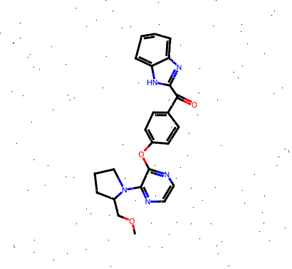 COCC1CCCN1c1nccnc1Oc1ccc(C(=O)c2nc3ccccc3[nH]2)cc1